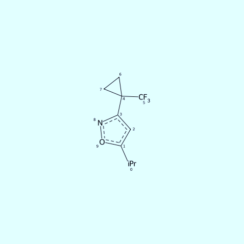 CC(C)c1cc(C2(C(F)(F)F)CC2)no1